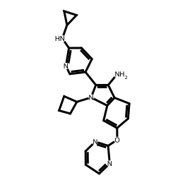 Nc1c(-c2ccc(NC3CC3)nc2)n(C2CCC2)c2cc(Oc3ncccn3)ccc12